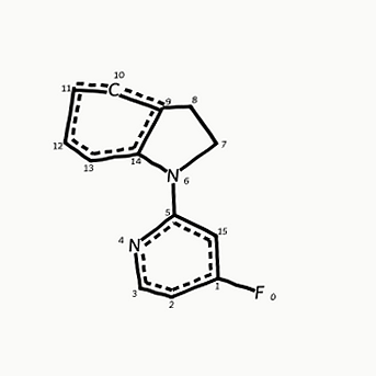 Fc1ccnc(N2CCc3ccccc32)c1